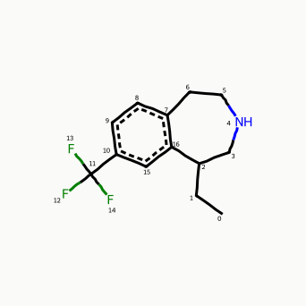 CCC1CNCCc2ccc(C(F)(F)F)cc21